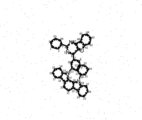 c1ccc(-c2nc(-c3cccc(-n4c5ccccc5c5ccc6c7ccccc7n(-c7ccccc7)c6c54)c3)c3oc4ccccc4c3n2)cc1